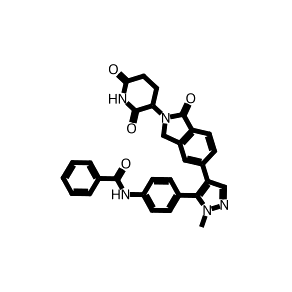 Cn1ncc(-c2ccc3c(c2)CN(C2CCC(=O)NC2=O)C3=O)c1-c1ccc(NC(=O)c2ccccc2)cc1